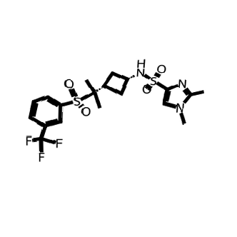 Cc1nc(S(=O)(=O)N[C@H]2C[C@@H](C(C)(C)S(=O)(=O)c3cccc(C(F)(F)F)c3)C2)cn1C